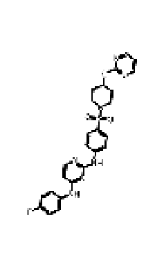 O=S(=O)(c1ccc(Nc2nccc(Nc3ccc(F)cc3)n2)cc1)N1CCC(Oc2ncccn2)CC1